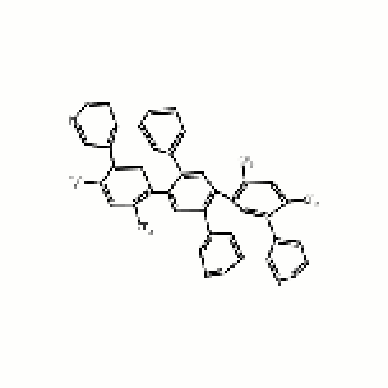 FC(F)(F)c1cc(C(F)(F)F)c(-c2cc(-c3ccccc3)c(-c3cc(-c4cccnc4)c(C(F)(F)F)cc3C(F)(F)F)cc2-c2ccccc2)cc1-c1cccnc1